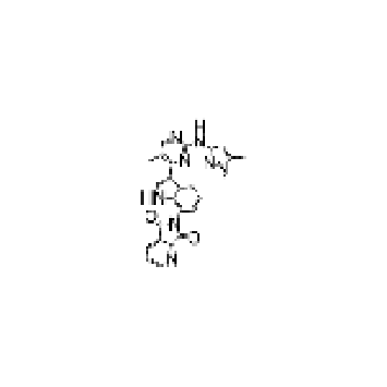 Cc1cnc(Nc2cc(C)n(C)n2)nc1-c1c[nH]c2c(N3C(=O)c4cccnc4C3=O)cccc12